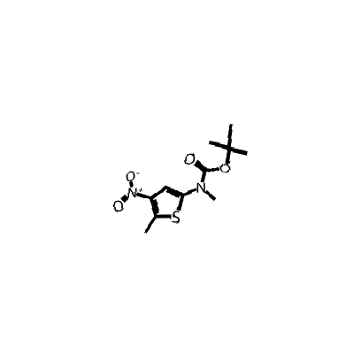 Cc1sc(N(C)C(=O)OC(C)(C)C)cc1[N+](=O)[O-]